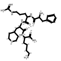 N=C(N)NCCCC(NC(=O)C(N)Cc1ccccc1)C(=O)NC(CC1CCOCC1)C(=O)NC(CCCCN)C(N)=O